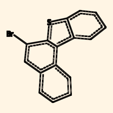 Brc1cc2ccccc2c2c1sc1ccccc12